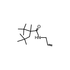 C=CCNC(=O)C(C)(CC(C)(C)C)C(C)(C)C